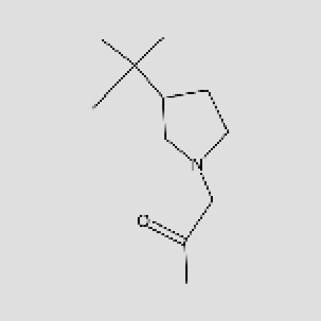 CC(=O)CN1CCC(C(C)(C)C)C1